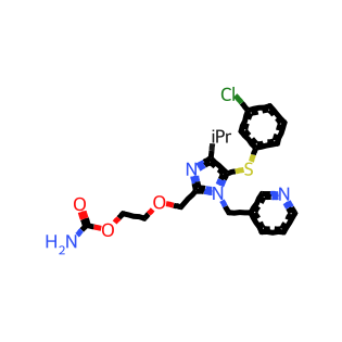 CC(C)c1nc(COCCOC(N)=O)n(Cc2cccnc2)c1Sc1cccc(Cl)c1